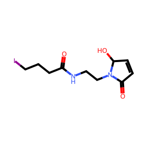 O=C(CCCI)NCCN1C(=O)C=CC1O